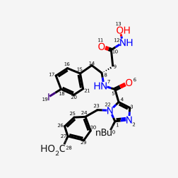 CCCCc1ncc(C(=O)N[C@@H](CC(=O)NO)Cc2ccc(I)cc2)n1Cc1ccc(C(=O)O)cc1